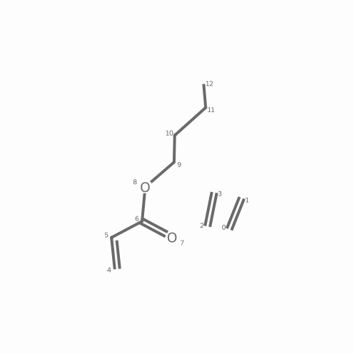 C=C.C=C.C=CC(=O)OCCCC